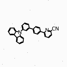 N#Cc1cccc(-c2ccc(-c3cccc(-n4c5ccccc5c5ccccc54)c3)cc2)n1